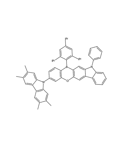 Cc1cc2c3cc(C)c(C)cc3n(-c3ccc4c(c3)Oc3cc5c6ccccc6n(-c6ccccc6)c5cc3B4c3c(C(C)C)cc(C(C)C)cc3C(C)C)c2cc1C